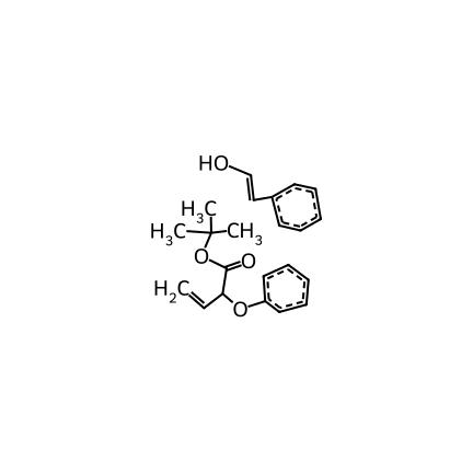 C=CC(Oc1ccccc1)C(=O)OC(C)(C)C.OC=Cc1ccccc1